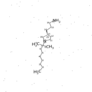 CCCCCCCC(C)(C)N1CC[C@H](CCCN)C1